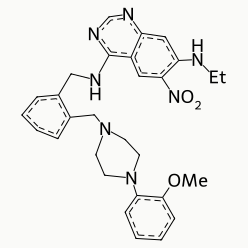 CCNc1cc2ncnc(NCc3ccccc3CN3CCN(c4ccccc4OC)CC3)c2cc1[N+](=O)[O-]